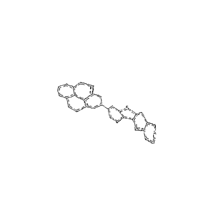 c1ccc2cc3c(cc2c1)sc1cc(-c2cc4ccc5cccc6ccc(c2)c4c56)ccc13